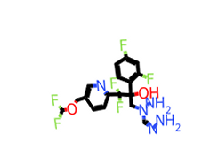 N/N=C\N(N)CC(O)(c1ccc(F)cc1F)C(F)(F)c1ccc(COC(F)F)cn1